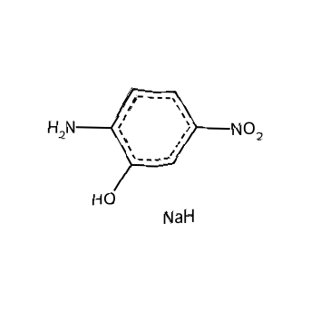 Nc1ccc([N+](=O)[O-])cc1O.[NaH]